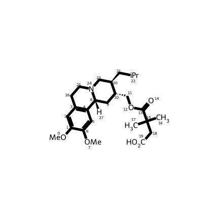 COc1cc2c(cc1OC)[C@H]1C[C@@H](COC(=O)C(C)(C)CC(=O)O)[C@H](CC(C)C)CN1CC2